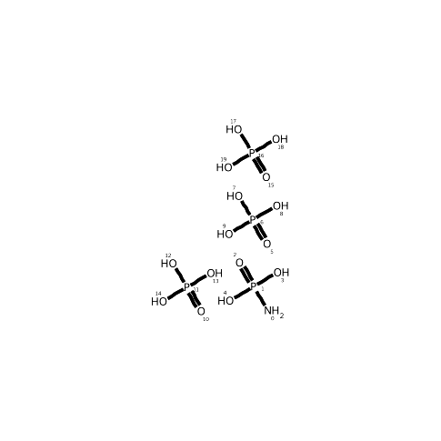 NP(=O)(O)O.O=P(O)(O)O.O=P(O)(O)O.O=P(O)(O)O